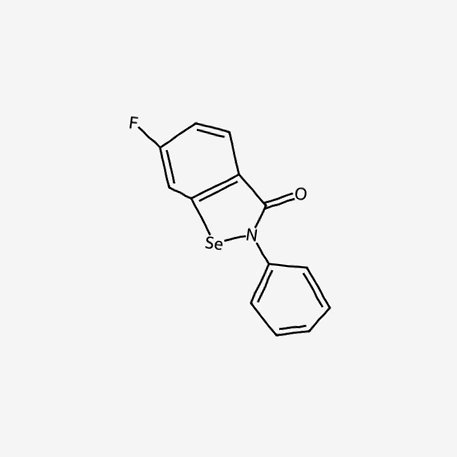 O=c1c2ccc(F)cc2[se]n1-c1ccccc1